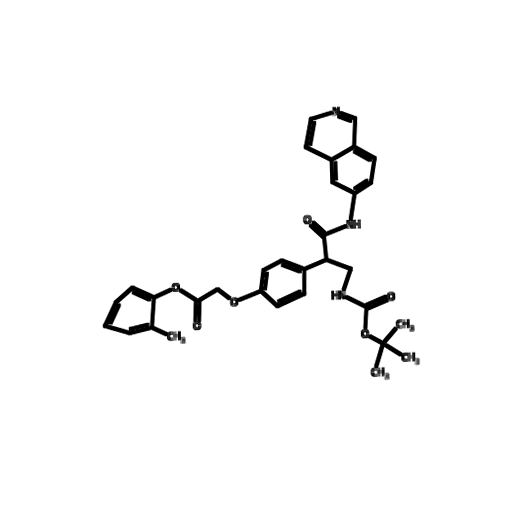 Cc1ccccc1OC(=O)COc1ccc(C(CNC(=O)OC(C)(C)C)C(=O)Nc2ccc3cnccc3c2)cc1